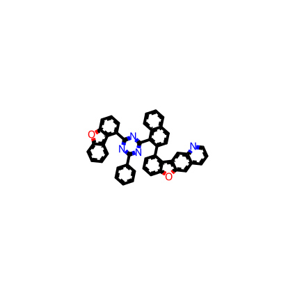 c1ccc(-c2nc(-c3c(-c4cccc5oc6cc7cccnc7cc6c45)ccc4ccccc34)nc(-c3cccc4oc5ccccc5c34)n2)cc1